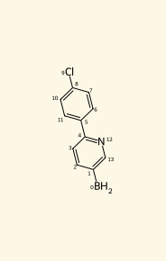 Bc1ccc(-c2ccc(Cl)cc2)nc1